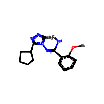 CCOC(=O)N/C(=N\n1cnnc1C1CCCC1)c1ccccc1OCC